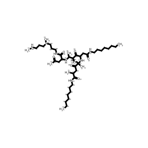 CCCCCCCCNC(=O)CC(NC(C)(C)C(=O)CC(N)C(=O)NCCCCCCCC)C(=O)C(C)C(C)NC(CC(C)=O)C(=O)NCCCN(C)CCCNC